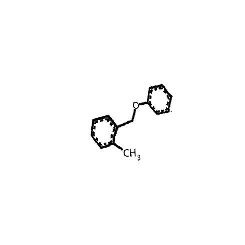 Cc1ccccc1COc1c[c]ccc1